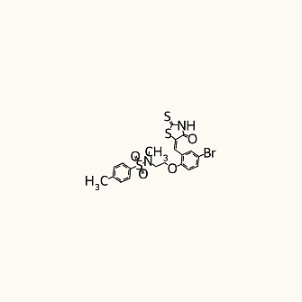 Cc1ccc(S(=O)(=O)N(C)CCOc2ccc(Br)cc2C=C2SC(=S)NC2=O)cc1